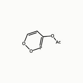 CC(=O)OC1=POOC=C1